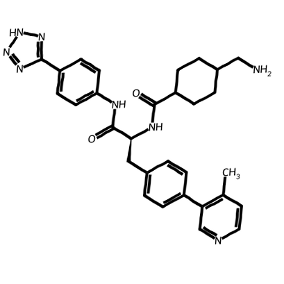 Cc1ccncc1-c1ccc(C[C@H](NC(=O)C2CCC(CN)CC2)C(=O)Nc2ccc(-c3nn[nH]n3)cc2)cc1